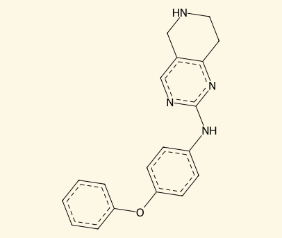 c1ccc(Oc2ccc(Nc3ncc4c(n3)CCNC4)cc2)cc1